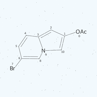 CC(=O)Oc1cc2ccc(Br)cn2c1